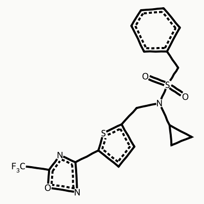 O=S(=O)(Cc1ccccc1)N(Cc1ccc(-c2noc(C(F)(F)F)n2)s1)C1CC1